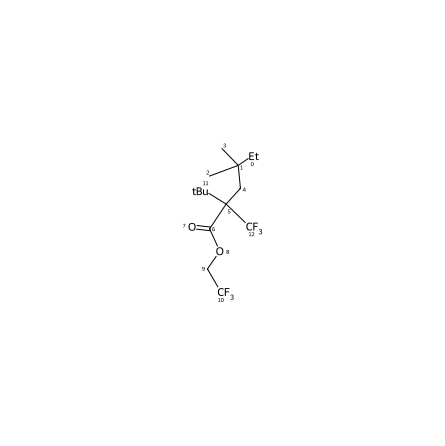 CCC(C)(C)CC(C(=O)OCC(F)(F)F)(C(C)(C)C)C(F)(F)F